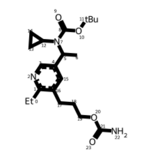 CCc1ncc(C(C)N(C(=O)OC(C)(C)C)C2CC2)cc1CCCOC(N)=O